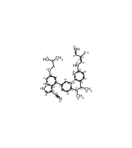 CC(O)COc1cc(-c2ccc(N(C)C(C)c3ccc(N/C=C(/F)C=N)nc3)nc2)c2c(C#N)cnn2c1